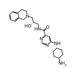 N[C@H]1CC[C@H](Nc2cc(C(=O)NC[C@H](O)CN3CCc4ccccc4C3)ncn2)CC1